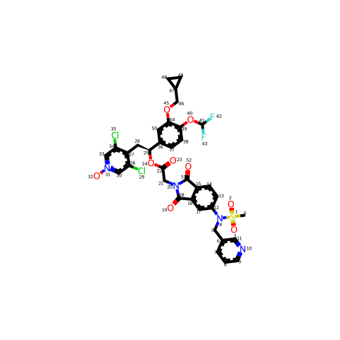 CS(=O)(=O)N(Cc1cccnc1)c1ccc2c(c1)C(=O)N(CC(=O)O[C@@H](Cc1c(Cl)c[n+]([O-])cc1Cl)c1ccc(OC(F)F)c(OCC3CC3)c1)C2=O